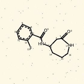 O=C1CC(NC(=O)c2ccccc2F)CCCN1